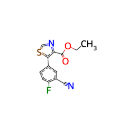 CCOC(=O)c1ncsc1-c1ccc(F)c(C#N)c1